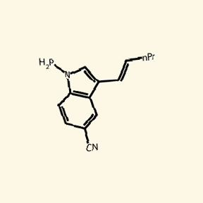 CCCC=Cc1cn(P)c2ccc(C#N)cc12